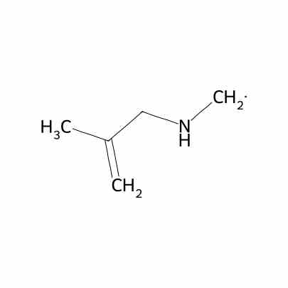 [CH2]NCC(=C)C